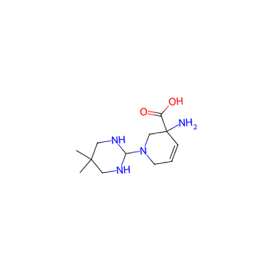 CC1(C)CNC(N2CC=CC(N)(C(=O)O)C2)NC1